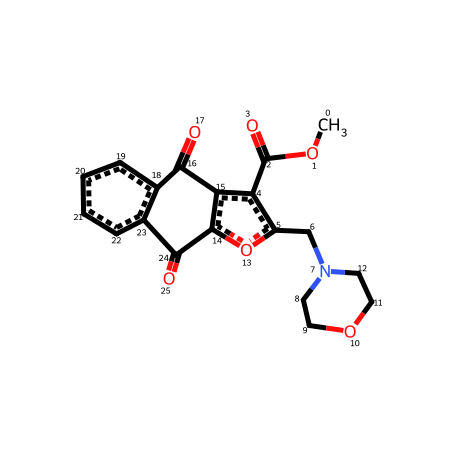 COC(=O)c1c(CN2CCOCC2)oc2c1C(=O)c1ccccc1C2=O